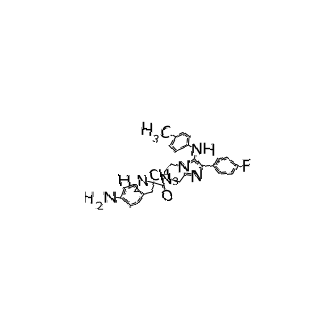 Cc1ccc(Nc2c(-c3ccc(F)cc3)nc3n2CCN(C(=O)[C@](C)(N)Cc2ccc(N)cc2)C3)cc1